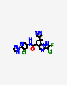 Cn1cc(C2(C)CC(C(=O)Nc3cnc(-n4nccn4)c(Cl)c3)c3cnc4c(Cl)c(F)nn4c32)cn1